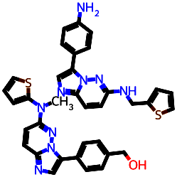 CN(c1ccc2ncc(-c3ccc(CO)cc3)n2n1)c1cccs1.Nc1ccc(-c2cnc3ccc(NCc4cccs4)nn23)cc1